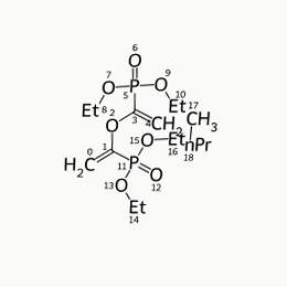 C=C(OC(=C)P(=O)(OCC)OCC)P(=O)(OCC)OCC.CCCC